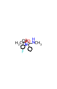 CNCC(O)C(c1ccccc1)N1C(=O)C(C)(C)c2ccc(F)cc21